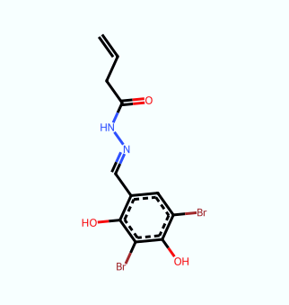 C=CCC(=O)N/N=C/c1cc(Br)c(O)c(Br)c1O